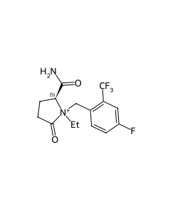 CC[N+]1(Cc2ccc(F)cc2C(F)(F)F)C(=O)CC[C@H]1C(N)=O